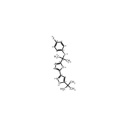 CC(C)(C)c1cc(-c2nnc(C(C)(C)Sc3ccc(F)cc3)o2)no1